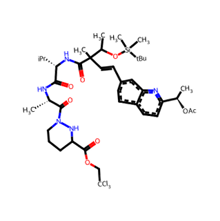 CC(=O)O[C@H](C)c1ccc2ccc(/C=C/C(C)(C(=O)N[C@H](C(=O)N[C@@H](C)C(=O)N3CCCC(C(=O)OCC(Cl)(Cl)Cl)N3)C(C)C)C(C)O[Si](C)(C)C(C)(C)C)cc2n1